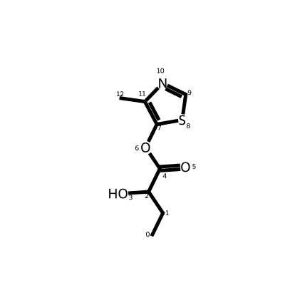 CCC(O)C(=O)Oc1scnc1C